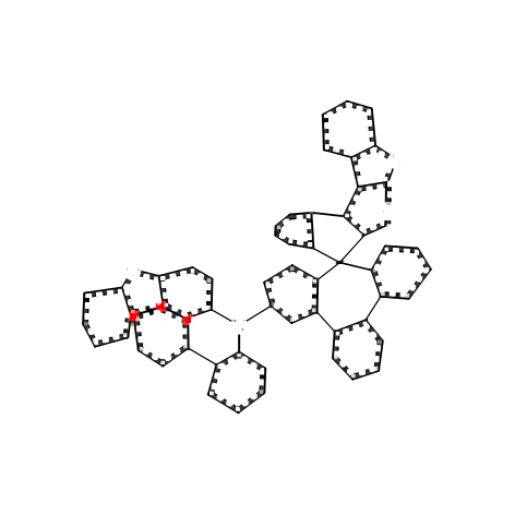 c1ccc(-c2ccccc2N(c2ccc3c(c2)-c2ccccc2-c2ccccc2C32c3ccccc3-c3c2ccc2sc4ccccc4c32)c2ccc3oc4ccccc4c3c2)cc1